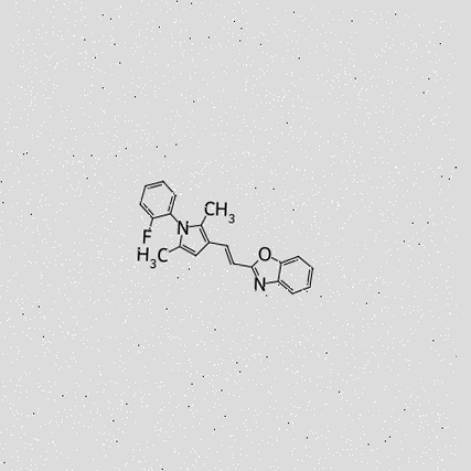 Cc1cc(/C=C/c2nc3ccccc3o2)c(C)n1-c1ccccc1F